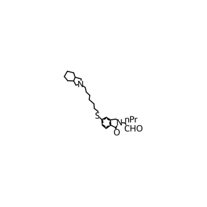 CCCC(C=O)N1Cc2cc(SCCCCCCCN3CC4CCCCC4C3)ccc2C1=O